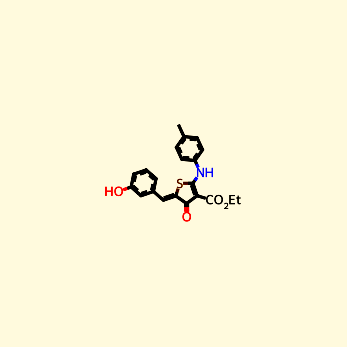 CCOC(=O)C1=C(Nc2ccc(C)cc2)S/C(=C\c2cccc(O)c2)C1=O